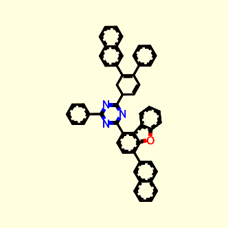 C1=CC(c2nc(-c3ccccc3)nc(-c3ccc(-c4ccc5ccccc5c4)c4oc5ccccc5c34)n2)CC(c2ccc3ccccc3c2)=C1c1ccccc1